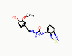 COc1cc(/C=N/NC(=O)Nc2cccc3nsnc23)ccc1O